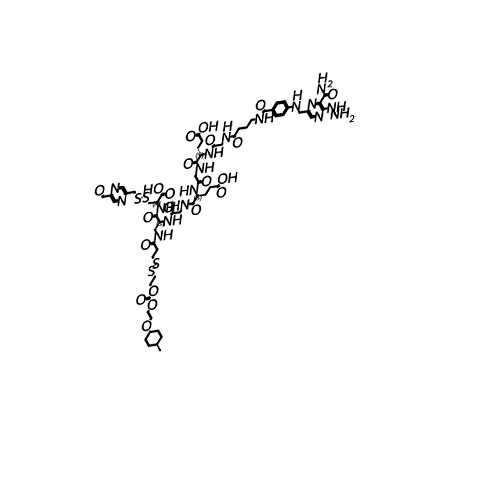 C[C@H]1CC[C@@H](OCCOC(=O)OCCSSCCC(=O)NC[C@H](NC(=O)CNC(=O)[C@H](CCC(=O)O)NC(=O)CNC(=O)[C@H](CCC(=O)O)NC(=O)CNC(=O)CCCNC(=O)c2ccc(NCc3cnc(NN)c(C(N)=O)n3)cc2)C(=O)N[C@@H](CSSCc2cnc(C=O)cn2)C(=O)O)CC1